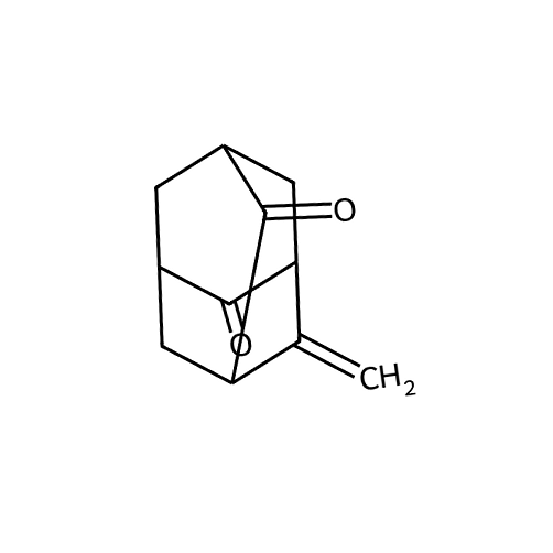 C=C1C2CC3CC(CC1C3=O)C2=O